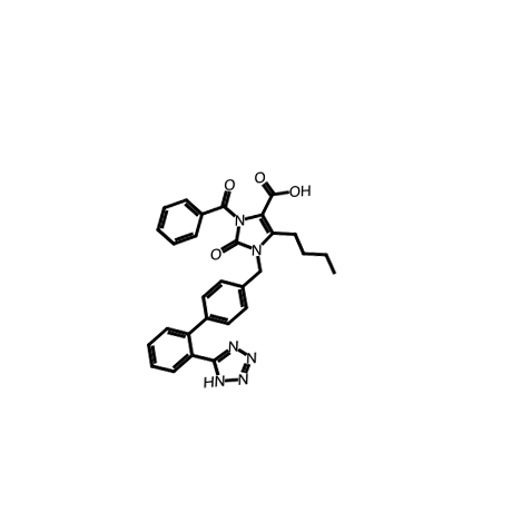 CCCCc1c(C(=O)O)n(C(=O)c2ccccc2)c(=O)n1Cc1ccc(-c2ccccc2-c2nnn[nH]2)cc1